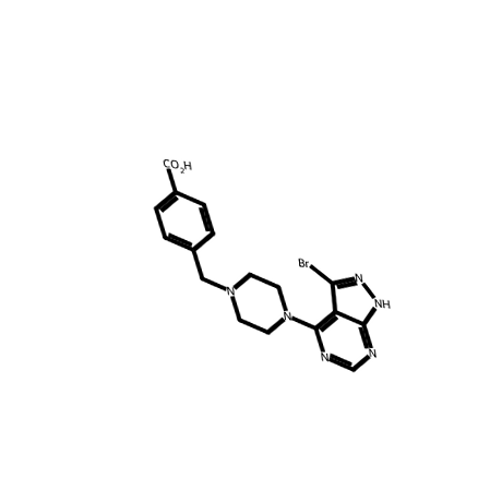 O=C(O)c1ccc(CN2CCN(c3ncnc4[nH]nc(Br)c34)CC2)cc1